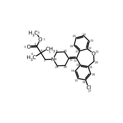 COC(=O)C(C)(C)CN1CCC(=C2c3ccc(Cl)cc3COc3ccccc32)CC1